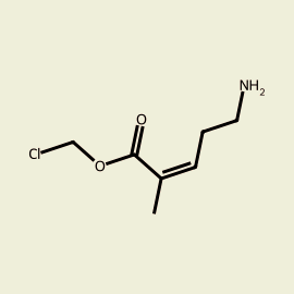 CC(=CCCN)C(=O)OCCl